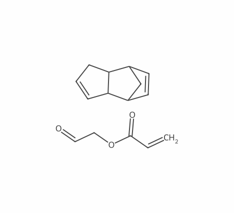 C1=CC2C3C=CC(C3)C2C1.C=CC(=O)OCC=O